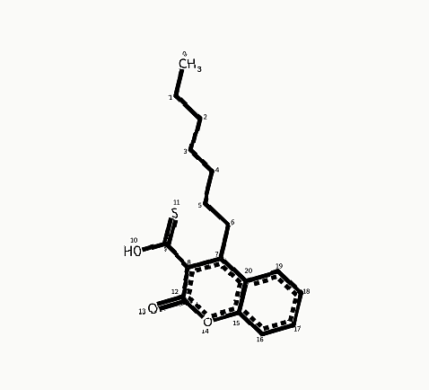 CCCCCCCc1c(C(O)=S)c(=O)oc2ccccc12